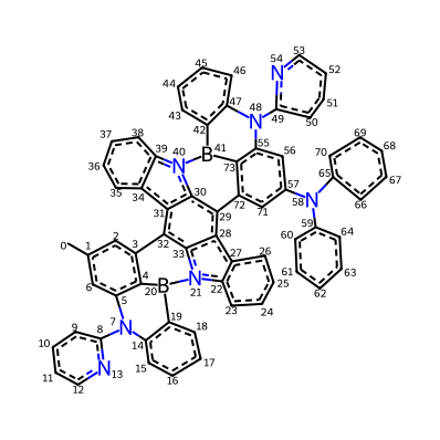 Cc1cc2c3c(c1)N(c1ccccn1)c1ccccc1B3n1c3ccccc3c3c4c5c(c-2c31)c1ccccc1n5B1c2ccccc2N(c2ccccn2)c2cc(N(c3ccccc3)c3ccccc3)cc-4c21